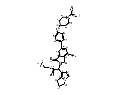 CCOC(=O)C(c1ncn2c1CCC2)N1Cc2c(F)cc(-c3ccc(OC4CCN(C(=O)O)CC4)cc3)cc2C1=O